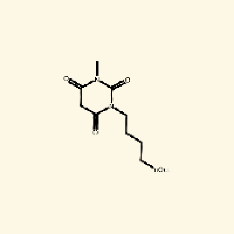 CCCCCCCCCCCCN1C(=O)CC(=O)N(C)C1=O